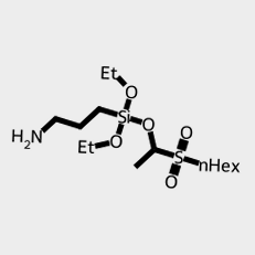 CCCCCCS(=O)(=O)C(C)O[Si](CCCN)(OCC)OCC